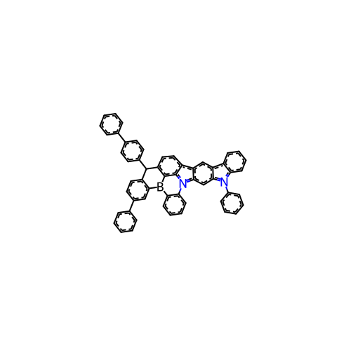 c1ccc(-c2ccc(C3c4ccc(-c5ccccc5)cc4B4c5ccccc5-n5c6cc7c(cc6c6ccc3c4c65)c3ccccc3n7-c3ccccc3)cc2)cc1